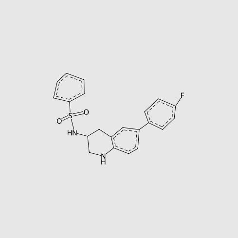 O=S(=O)(NC1CNc2ccc(-c3ccc(F)cc3)cc2C1)c1ccccc1